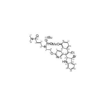 CC/C(=C(/c1ccc(OCCN(C/C=C/C(=O)N(C)C)C(=O)OC(C)(C)C)nc1)C1Nc2ccccc2C1Br)c1cccc(OC)c1